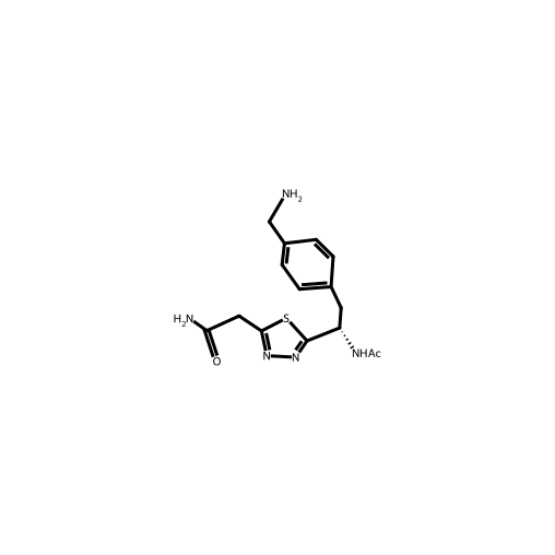 CC(=O)N[C@@H](Cc1ccc(CN)cc1)c1nnc(CC(N)=O)s1